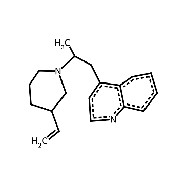 C=CC1CCCN(C(C)Cc2ccnc3ccccc23)C1